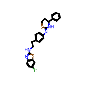 Clc1ccc2nc(NCCc3ccc(/N=C4/NC(c5ccccc5)CCS4)cc3)sc2c1